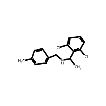 Cc1ccc(CNC(C)c2c(Cl)cccc2Cl)cc1